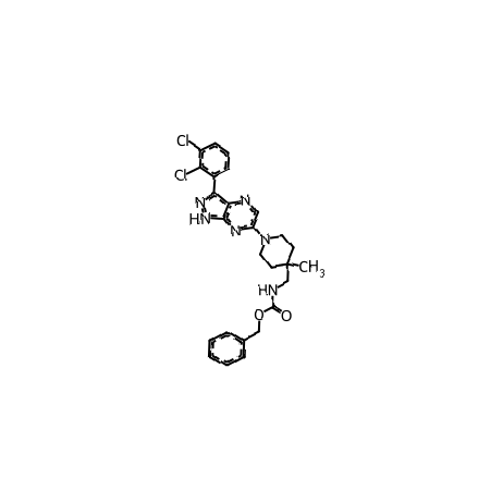 CC1(CNC(=O)OCc2ccccc2)CCN(c2cnc3c(-c4cccc(Cl)c4Cl)n[nH]c3n2)CC1